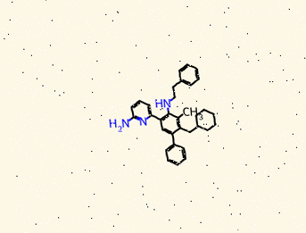 Cc1c(CC2CCCCC2)c(-c2ccccc2)cc(-c2cccc(N)n2)c1NCCc1ccccc1